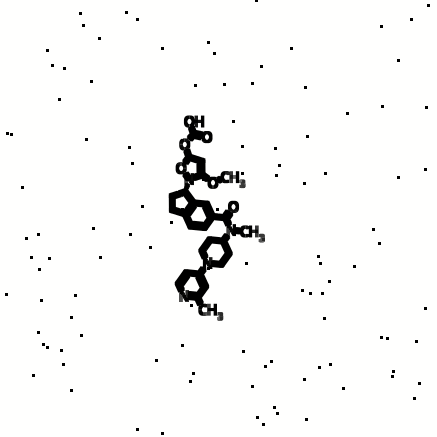 COC1=CC(OC(=O)O)ON1[C@@H]1CCc2ccc(C(=O)N(C)C3CCN(c4ccnc(C)c4)CC3)cc21